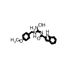 COc1ccc(CNC(N)=NC(=O)c2cc3ccccc3[nH]2)cc1.Cl